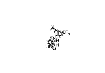 O=C(CCc1ccc(C(F)(F)F)nc1OCC1CC1)Nc1cccc2[nH]c(=O)[nH]c12